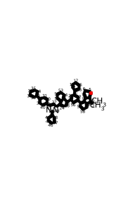 CC1(C)c2ccccc2-c2c(-c3cc(-c4ccccc4)cc(-c4ccc(-c5cc(-c6ccc(-c7ccccc7)cc6)nc(-c6ccccc6)n5)c5ccccc45)c3)cccc21